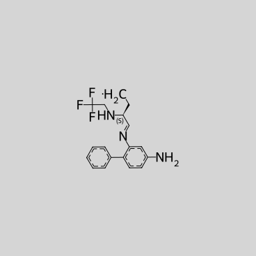 [CH2]C[C@@H](C=Nc1cc(N)ccc1-c1ccccc1)NCC(F)(F)F